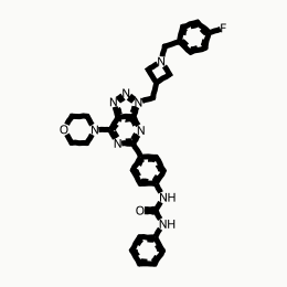 O=C(Nc1ccccc1)Nc1ccc(-c2nc(N3CCOCC3)c3nnn(CC4CN(Cc5ccc(F)cc5)C4)c3n2)cc1